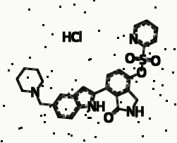 Cl.O=C1NCc2c(OS(=O)(=O)c3ccccn3)ccc(-c3cc4cc(CN5CCCCC5)ccc4[nH]3)c21